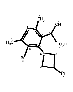 Cc1nc(C)c(C(O)C(=O)O)c(N2CC(C(C)C)C2)c1Br